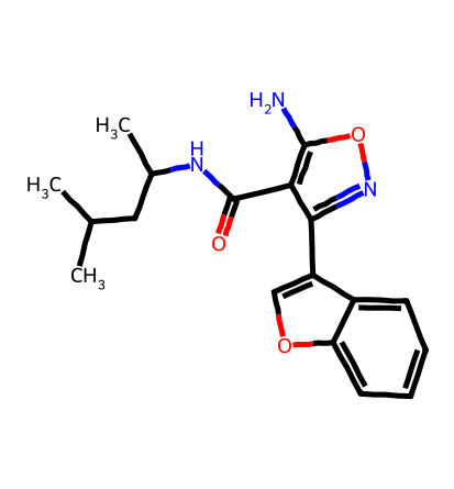 CC(C)CC(C)NC(=O)c1c(-c2coc3ccccc23)noc1N